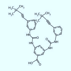 C[Si](C)(C)C#Cc1cccc(NC(=O)Nc2cc(NC(=O)Nc3cccc(C#C[Si](C)(C)C)c3)cc(C(=O)O)c2)c1